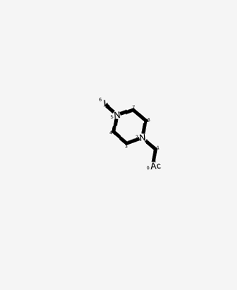 CC(=O)CN1CCN(I)CC1